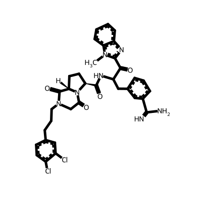 Cn1c(C(=O)C(Cc2cccc(C(=N)N)c2)NC(=O)[C@@H]2CC[C@H]3C(=O)N(CCCc4ccc(Cl)c(Cl)c4)CC(=O)N23)nc2ccccc21